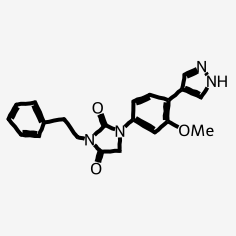 COc1cc(N2CC(=O)N(CCc3ccccc3)C2=O)ccc1-c1cn[nH]c1